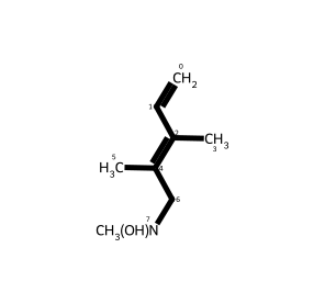 C=C/C(C)=C(\C)CN(C)O